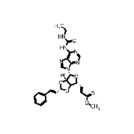 CCNC(=O)Nc1ncnc2c1ncn2[C@@H]1O[C@H](C=CC(=O)OC)C2O[C@H](C=Cc3ccccc3)O[C@@H]21